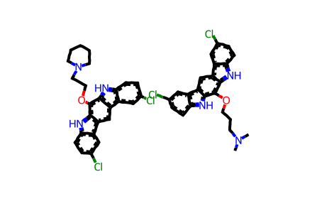 CN(C)CCCOc1c2[nH]c3ccc(Cl)cc3c2cc2c1[nH]c1ccc(Cl)cc12.Clc1ccc2[nH]c3c(OCCN4CCCCC4)c4[nH]c5ccc(Cl)cc5c4cc3c2c1